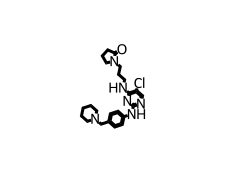 O=C1CCCN1CCCNc1nc(Nc2ccc(CN3CCCCC3)cc2)ncc1Cl